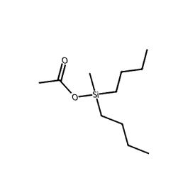 CCCC[Si](C)(CCCC)OC(C)=O